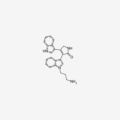 NCCCn1cc(C2=C(c3c[nH]c4ccccc34)CNC2=O)c2ccccc21